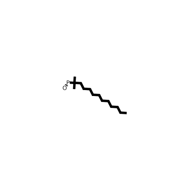 CCCCCCCCCCCC(C)(C)P=O